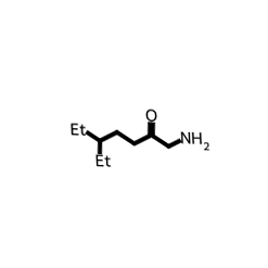 CCC(CC)CCC(=O)CN